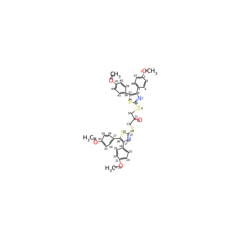 COc1ccc(-c2nc(SCC(=O)CSc3nc(-c4ccc(OC)cc4)c(-c4ccc(OC)cc4)s3)sc2-c2ccc(OC)cc2)cc1